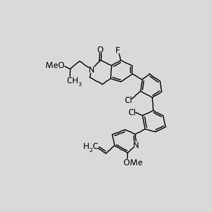 C=Cc1ccc(-c2cccc(-c3cccc(-c4cc(F)c5c(c4)CCN(CC(C)OC)C5=O)c3Cl)c2Cl)nc1OC